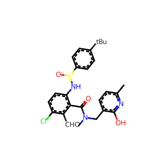 Cc1ccc(CN(C)C(=O)c2c(N[S+]([O-])c3ccc(C(C)(C)C)cc3)ccc(Cl)c2C=O)c(O)n1